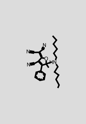 CC1(C)OC(=C(C#N)C#N)C(C#N)=C1c1ccccc1.CCCCCCNCCCCCC